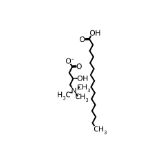 CCCCCCCCCCCCCCCC(=O)O.C[N+](C)(C)C[C@H](O)CC(=O)[O-]